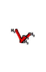 CCCCCCCCCCCCCCCCCC(CCCCCC)c1nccn1C(C)CCCCCCCCCCCCCCC